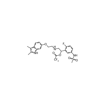 Cc1[nH]c2cc(OCCNCC(OC(=O)C(F)(F)F)c3cc(NS(C)(=O)=O)ccc3F)ccc2c1C